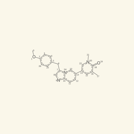 COc1ccc(Cc2cnc3ccc(-c4cc(C)c(=O)n(C)c4)cn23)cc1